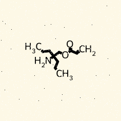 C=CC(=O)OCC(N)(CCC)CCC